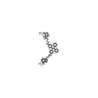 Nc1ncnc2c1ncn2CCCOc1ccc(C(=C(c2ccccc2)c2ccccc2)c2ccc(OCCCn3cnc4c(N)ncnc43)cc2)cc1